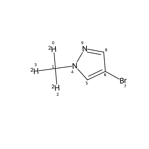 [2H]C([2H])([2H])n1cc(Br)cn1